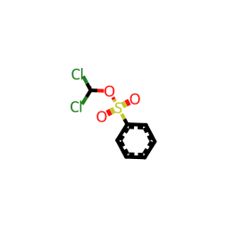 O=S(=O)(O[C](Cl)Cl)c1ccccc1